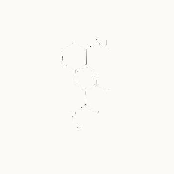 COC(=O)c1cc2c(cc1Cl)C(N)CCS2